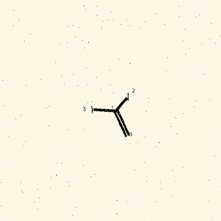 C=C(I)I